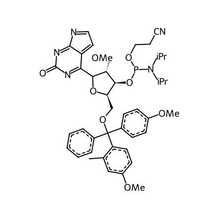 COc1ccc(C(OC[C@H]2OC(C3=NC(=O)N=C4N=CC=C43)[C@H](OC)[C@H]2OP(OCCC#N)N(C(C)C)C(C)C)(c2ccccc2)c2ccc(OC)cc2C)cc1